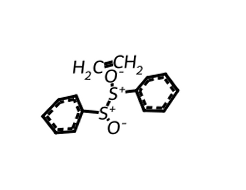 C=C.[O-][S+](c1ccccc1)[S+]([O-])c1ccccc1